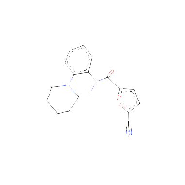 N#Cc1ccc(C(=O)N(N)c2ccccc2N2CCCCC2)o1